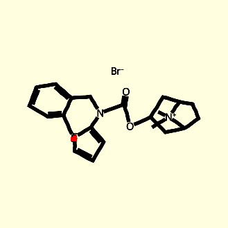 C[N+]1(C)C2CCC1CC(OC(=O)N(Cc1ccccc1F)c1cccs1)C2.[Br-]